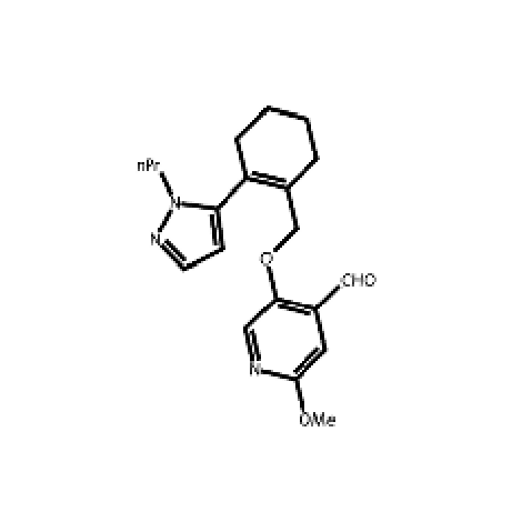 CCCn1nccc1C1=C(COc2cnc(OC)cc2C=O)CCCC1